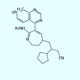 CCC/C=C\c1c(C)ncnc1C1=CC(CC(CC#N)C2CCCC2)CCN=C1NC(C)=O